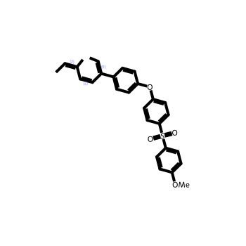 C\C=C(C)/C=C\C(=C/C)c1ccc(Oc2ccc(S(=O)(=O)c3ccc(OC)cc3)cc2)cc1